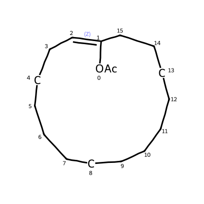 CC(=O)O/C1=C\CCCCCCCCCCCCC1